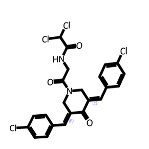 O=C1/C(=C/c2ccc(Cl)cc2)CN(C(=O)CNC(=O)C(Cl)Cl)C/C1=C\c1ccc(Cl)cc1